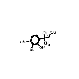 CCCCc1ccc(C(C)(C)CC(C)(C)C)c(O)c1CC